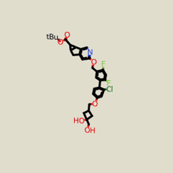 CC(C)(C)OC(=O)C1C2Cc3cc(OCc4cc(-c5ccc(OCC6CC(O)(CO)C6)cc5Cl)c(F)cc4F)ncc3C21